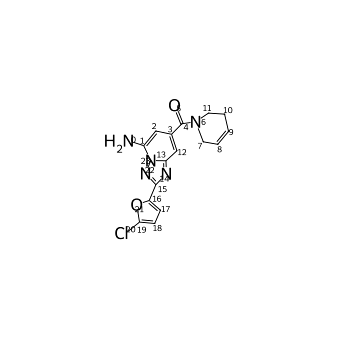 Nc1cc(C(=O)N2CC=CCC2)cc2nc(-c3ccc(Cl)o3)nn12